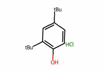 CC(C)(C)c1ccc(O)c(C(C)(C)C)c1.Cl